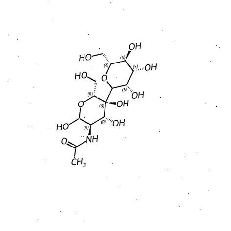 CC(=O)N[C@H]1C(O)O[C@H](CO)[C@](O)(C2O[C@H](CO)[C@@H](O)[C@H](O)[C@@H]2O)[C@@H]1O